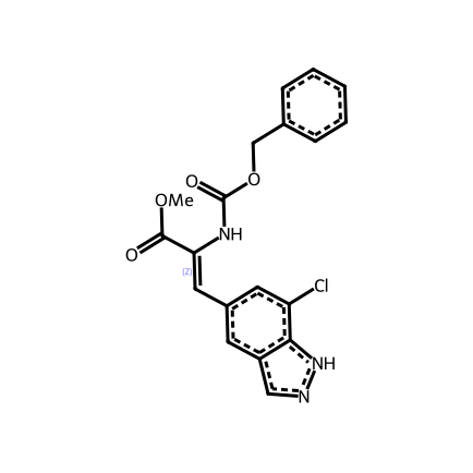 COC(=O)/C(=C/c1cc(Cl)c2[nH]ncc2c1)NC(=O)OCc1ccccc1